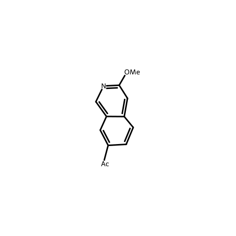 COc1cc2ccc(C(C)=O)cc2cn1